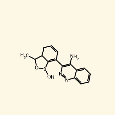 CC1OB(O)C2=C(c3nnc4ccccc4c3N)C=CCC21